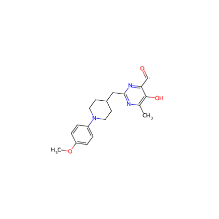 COc1ccc(N2CCC(Cc3nc(C)c(O)c([C]=O)n3)CC2)cc1